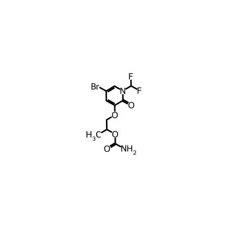 CC(COc1cc(Br)cn(C(F)F)c1=O)OC(N)=O